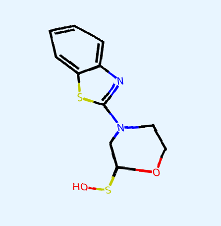 OSC1CN(c2nc3ccccc3s2)CCO1